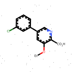 CCOc1cc(-c2cccc(Cl)c2)cnc1C(=O)O